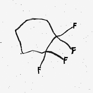 FC1(F)[CH]CCCC1(F)F